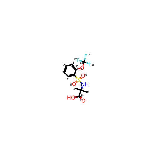 CC(C)(NS(=O)(=O)c1ccccc1OC(F)(F)F)C(=O)O